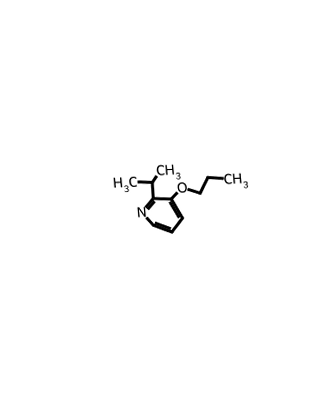 CCCOc1cccnc1C(C)C